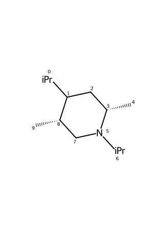 CC(C)C1C[C@H](C)N(C(C)C)C[C@@H]1C